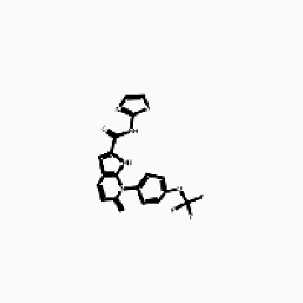 C=C1C=Cc2cc(C(=O)Nc3nccs3)[nH]c2N1c1ccc(OC(F)(F)F)cc1